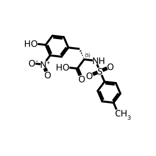 Cc1ccc(S(=O)(=O)N[C@@H](Cc2ccc(O)c([N+](=O)[O-])c2)C(=O)O)cc1